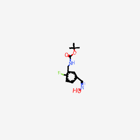 CC(C)(C)OC(=O)NCc1cc(/C=N\O)ccc1F